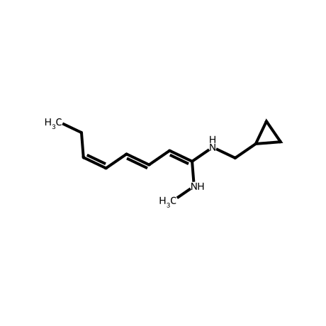 CC\C=C/C=C/C=C(\NC)NCC1CC1